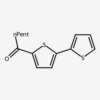 CCCCCC(=O)c1ccc(-c2cccs2)s1